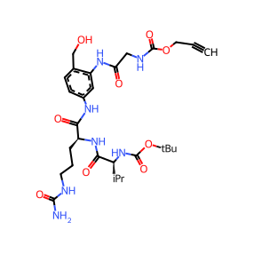 C#CCOC(=O)NCC(=O)Nc1cc(NC(=O)[C@H](CCCNC(N)=O)NC(=O)[C@@H](NC(=O)OC(C)(C)C)C(C)C)ccc1CO